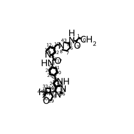 C=CC(=O)N[C@@H]1CCCN(Cc2ccnc(C(=O)Nc3ccc(-c4cc5c([C@@]67CCOC[C@@H]6CC7)ncnc5[nH]4)cc3)c2)C1